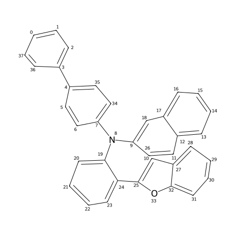 c1ccc(-c2ccc(N(c3ccc4ccccc4c3)c3ccccc3-c3cc4ccccc4o3)cc2)cc1